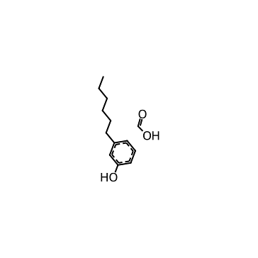 CCCCCCc1cccc(O)c1.O=CO